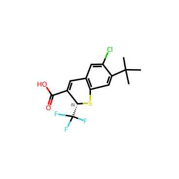 CC(C)(C)c1cc2c(cc1Cl)C=C(C(=O)O)[C@@H](C(F)(F)F)S2